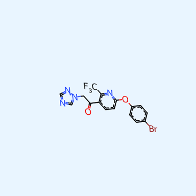 O=C(Cn1cncn1)c1ccc(Oc2ccc(Br)cc2)nc1C(F)(F)F